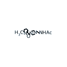 CC(=O)NCCN1CCN(C(=O)C2=CCCC(C)=N2)CC1